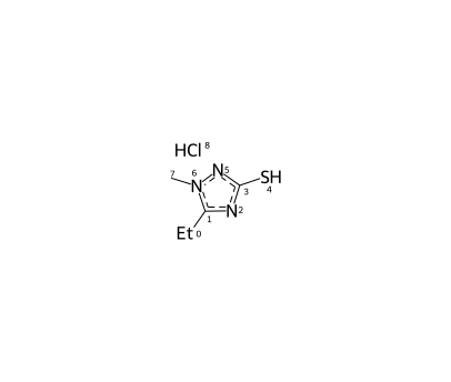 CCc1nc(S)nn1C.Cl